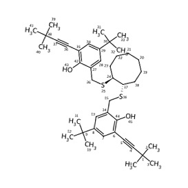 CC(C)(C)C#Cc1cc(C(C)(C)C)cc(CS[C@H]2CCCCCC[C@@H]2SCc2cc(C(C)(C)C)cc(C#CC(C)(C)C)c2O)c1O